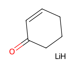 O=C1C=CCCC1.[LiH]